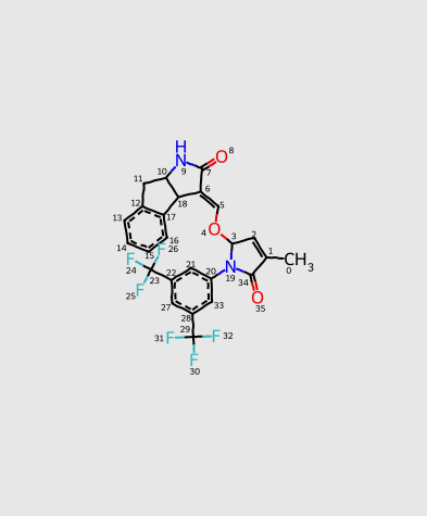 CC1=CC(O/C=C2/C(=O)NC3Cc4ccccc4C23)N(c2cc(C(F)(F)F)cc(C(F)(F)F)c2)C1=O